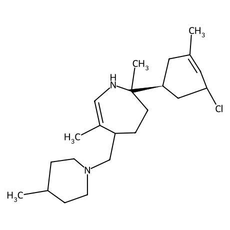 CC1=CC(Cl)C[C@@H](C2(C)CCC(CN3CCC(C)CC3)C(C)=CN2)C1